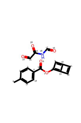 Cc1ccc(C(=O)Oc2cc3ccc2-3)cc1.O=CNC(=O)C=O